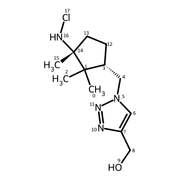 CC1(C)[C@@H](Cn2cc(CO)nn2)CC[C@@]1(C)NCl